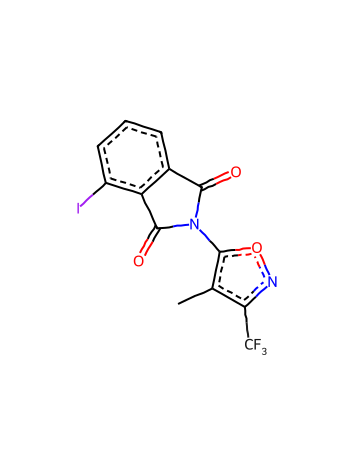 Cc1c(C(F)(F)F)noc1N1C(=O)c2cccc(I)c2C1=O